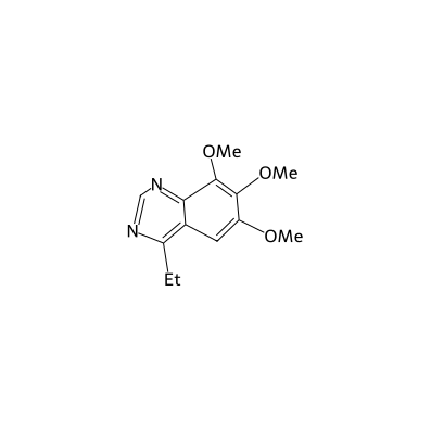 CCc1ncnc2c(OC)c(OC)c(OC)cc12